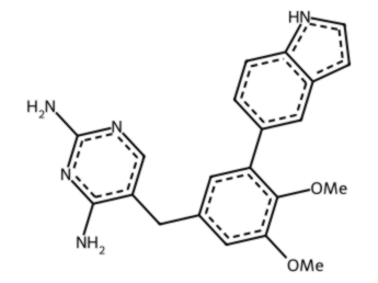 COc1cc(Cc2cnc(N)nc2N)cc(-c2ccc3[nH]ccc3c2)c1OC